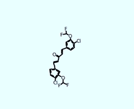 O=C(C=Cc1ccc(Cl)c(OC(F)F)c1)C=Cc1ccc(Cl)c(OC(F)F)c1